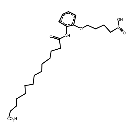 O=C(O)CCCCCCCCCCCCC(=O)Nc1ccccc1OCCCCS(=O)O